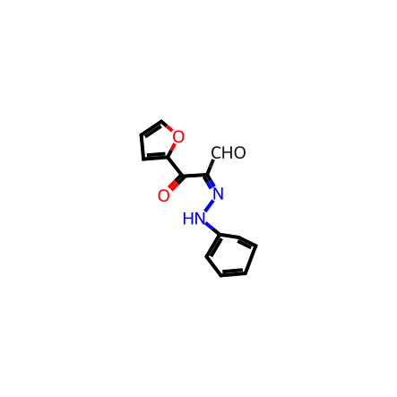 O=CC(=NNc1ccccc1)C(=O)c1ccco1